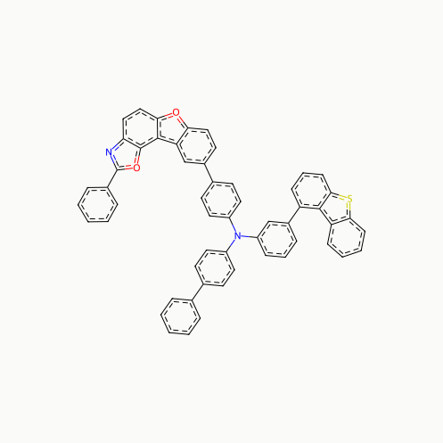 c1ccc(-c2ccc(N(c3ccc(-c4ccc5oc6ccc7nc(-c8ccccc8)oc7c6c5c4)cc3)c3cccc(-c4cccc5sc6ccccc6c45)c3)cc2)cc1